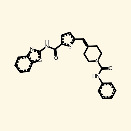 O=C(Nc1nc2ccccc2s1)c1ccc(C=C2CCN(C(=O)Nc3ccccc3)CC2)s1